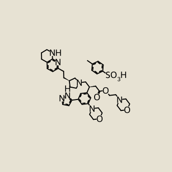 Cc1ccc(S(=O)(=O)O)cc1.O=C(C[C@H](CN1CC[C@@H](CCc2ccc3c(n2)NCCC3)C1)c1cc(-c2ccn[nH]2)cc(N2CCOCC2)c1)OCCN1CCOCC1